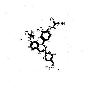 CCc1cnc(N(CCc2ccc(OCC(=O)O)c(Br)c2)Cc2ccc(OC(F)(F)F)cc2)nc1